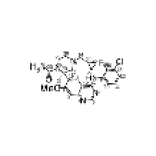 COc1cc2ncnc(Nc3cccc(Cl)c3F)c2cc1[C@]1(C)CN(CC2CC2)CCN1C(N)=O